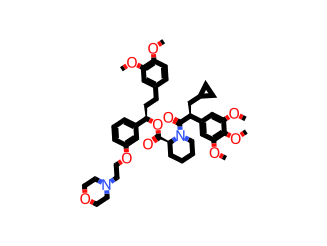 COc1ccc(CC[C@@H](OC(=O)[C@@H]2CCCCN2C(=O)[C@@H](CC2CC2)c2cc(OC)c(OC)c(OC)c2)c2cccc(OCCN3CCOCC3)c2)cc1OC